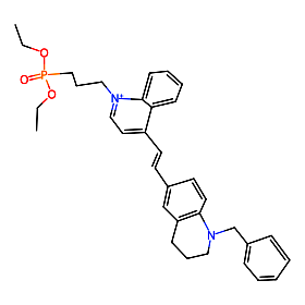 CCOP(=O)(CCC[n+]1ccc(C=Cc2ccc3c(c2)CCCN3Cc2ccccc2)c2ccccc21)OCC